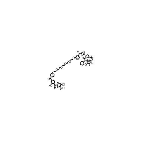 CNc1nc(Nc2ccc(C(=O)N3CCN(CCOCCOCCOCCOCCOc4cccc(C(=O)c5csc([C@@H]6CCCN6C(=O)[C@@H](NC(=O)[C@H](C)N(C)C(=O)OC(C)(C)C)C6CCCCC6)n5)c4)CC3)cc2OC)ncc1Cl